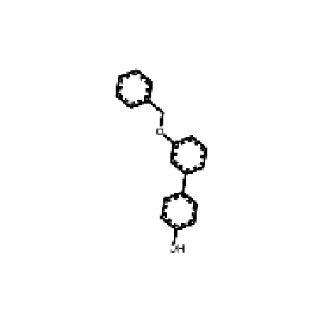 Oc1ccc(-c2cccc(OCc3ccccc3)c2)cc1